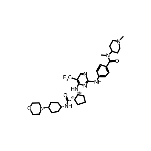 CN1CCC(N(C)C(=O)c2ccc(Nc3ncc(C(F)(F)F)c(N[C@@H]4CCC[C@@H]4C(=O)N[C@H]4CC[C@H](N5CCOCC5)CC4)n3)cc2)CC1